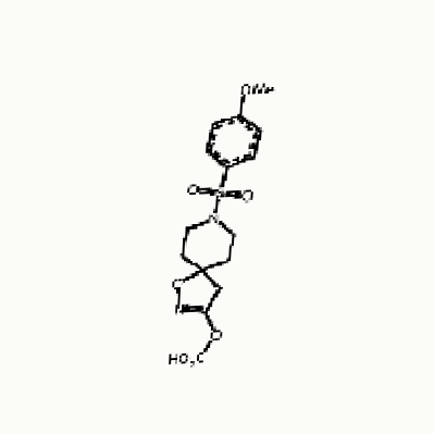 COc1ccc(S(=O)(=O)N2CCC3(CC2)CC(OC(=O)O)=NO3)cc1